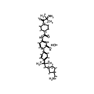 CC(C)(N)C(=O)N1CCN(C(=O)Nc2ccn(-c3ccc(C(C)(C)CN4CCC(CN)C4)cc3)c(=O)n2)CC1.Cl